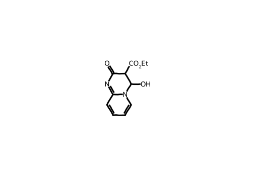 CCOC(=O)C1C(=O)N=C2C=CC=CN2C1O